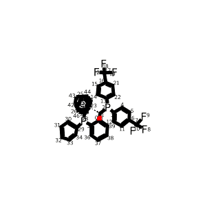 CC(P(c1ccc(C(F)(F)F)cc1)c1ccc(C(F)(F)F)cc1)[C@]12[CH]3[CH]4[CH]5[C]1(P(c1ccccc1)c1ccccc1)[Fe]45321678[CH]2[CH]1[CH]6[CH]7[CH]28